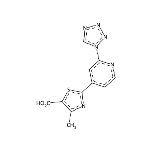 Cc1nc(-c2ccnc(-n3cnnn3)c2)sc1C(=O)O